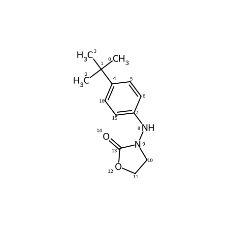 CC(C)(C)c1ccc(NN2CCOC2=O)cc1